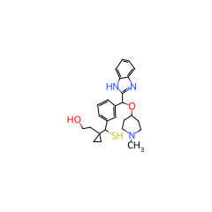 CN1CCC(OC(c2cccc(C(S)C3(CCO)CC3)c2)c2nc3ccccc3[nH]2)CC1